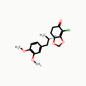 COc1ccc(CC(C)[C@]23CCC(=O)C(Br)=C2OCO3)cc1OC